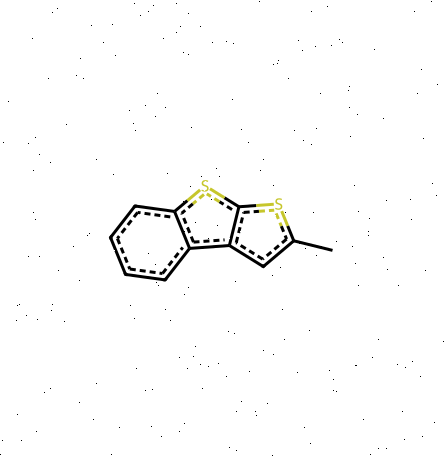 Cc1cc2c(s1)sc1ccccc12